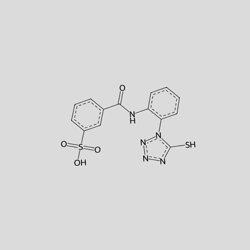 O=C(Nc1ccccc1-n1nnnc1S)c1cccc(S(=O)(=O)O)c1